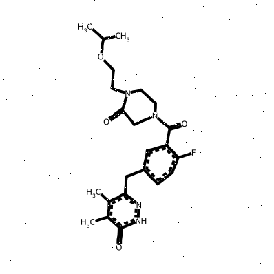 Cc1c(Cc2ccc(F)c(C(=O)N3CCN(CCOC(C)C)C(=O)C3)c2)n[nH]c(=O)c1C